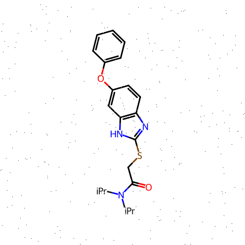 CC(C)N(C(=O)CSc1nc2ccc(Oc3ccccc3)cc2[nH]1)C(C)C